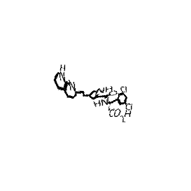 O=C(O)C[C@H](NC(=O)c1cc(CCc2ccc3c(n2)NCCC3)c[nH]1)c1cc(Cl)cc(Cl)c1